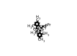 CCCOCCOP(=O)(C(=O)c1c(C)cc(C)cc1C)C(=O)c1c(C)cc(C)cc1C